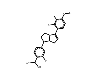 CCCC(O)c1ccc(C2CCC3C(c4ccc(OCC)c(F)c4F)=CCC32)cc1F